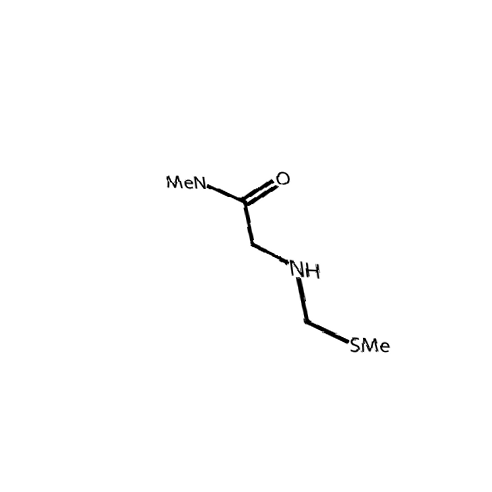 CNC(=O)CNCSC